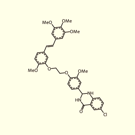 COc1cc(C2NC(=O)c3cc(Cl)ccc3N2)ccc1OCCOc1cc(C=Cc2cc(OC)c(OC)c(OC)c2)ccc1OC